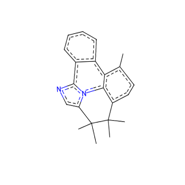 Cc1ccc2c3c1c1ccccc1c1ncc(n13)C(C)(C)C2(C)C